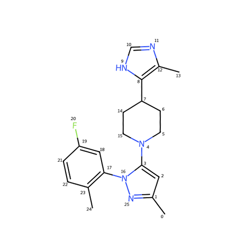 Cc1cc(N2CCC(c3[nH]cnc3C)CC2)n(-c2cc(F)ccc2C)n1